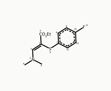 CCOC(=O)/C(=C/N(C)C)Sc1ccc(F)cc1